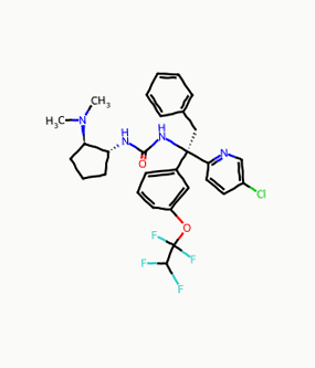 CN(C)[C@@H]1CCC[C@H]1NC(=O)N[C@](Cc1ccccc1)(c1cccc(OC(F)(F)C(F)F)c1)c1ccc(Cl)cn1